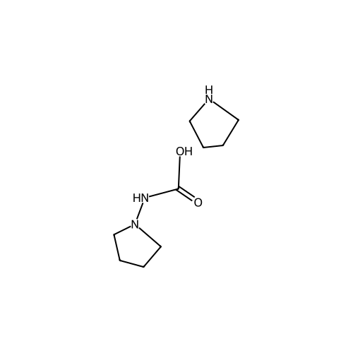 C1CCNC1.O=C(O)NN1CCCC1